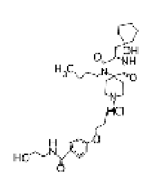 CCCCN1C(=O)[C@@H](CC2(O)CCCCC2)NC(=O)C12CCN(CCCCOc1ccc(C(=O)NCCO)cc1)CC2.Cl